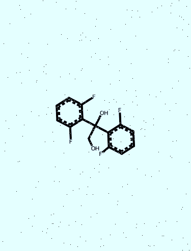 OCC(O)(c1c(F)cccc1F)c1c(F)cccc1F